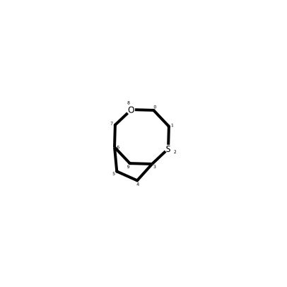 C1CSC2CCC(CO1)C2